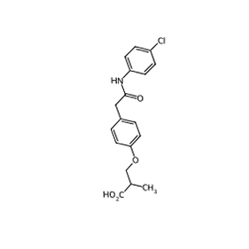 CC(COc1ccc(CC(=O)Nc2ccc(Cl)cc2)cc1)C(=O)O